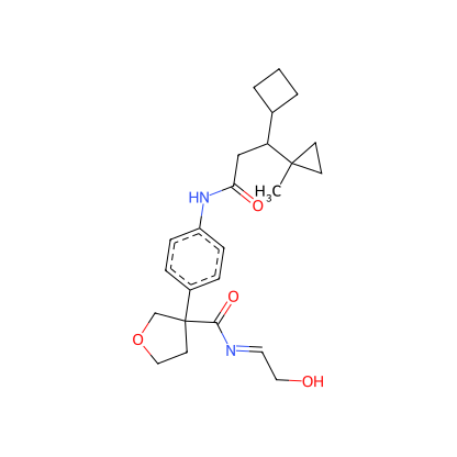 CC1(C(CC(=O)Nc2ccc(C3(C(=O)/N=C/CO)CCOC3)cc2)C2CCC2)CC1